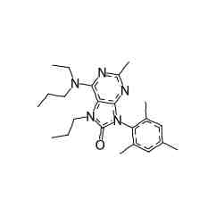 CCCN(CC)c1nc(C)nc2c1n(CCC)c(=O)n2-c1c(C)cc(C)cc1C